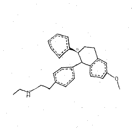 CCNCCc1ccc(C2c3ccc(OC)cc3CC[C@@H]2c2ccccc2)cc1